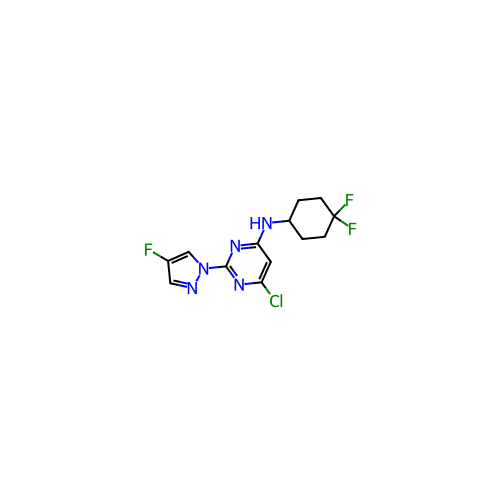 Fc1cnn(-c2nc(Cl)cc(NC3CCC(F)(F)CC3)n2)c1